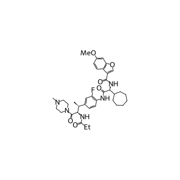 CCC(=O)N[C@@H](C(=O)N1CCN(C)CC1)[C@@H](C)c1ccc(NC(=O)[C@@H](NC(=O)c2coc3cc(OC)ccc23)C2CCCCCC2)c(F)c1